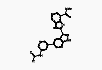 CCC(=O)Nc1cncc(-c2cnc3[nH]nc(-c4nc5c(C(=O)NC)cncc5[nH]4)c3c2)c1